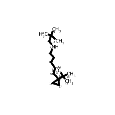 CC(C)(C)CNCCCCCC1(C(C)(C)C)CC1